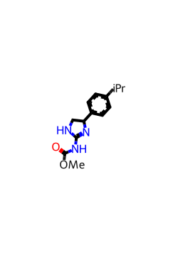 COC(=O)NC1=NC(c2ccc(C(C)C)cc2)CN1